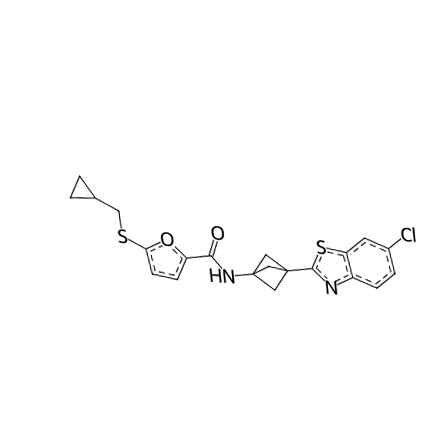 O=C(NC12CC(c3nc4ccc(Cl)cc4s3)(C1)C2)c1ccc(SCC2CC2)o1